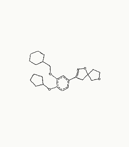 c1cc(OC2CCCC2)c(OCC2CCCCC2)cc1C1=NOC2(CCOC2)C1